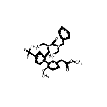 CCN(Cc1ccccc1)C(=O)N(CC)Cc1cc(C(F)(F)F)ccc1-c1cc(CC(=O)OC)ccc1OC